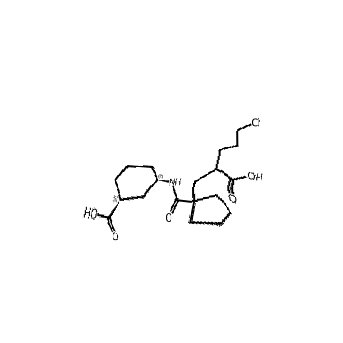 O=C(O)C(CCCCl)CC1(C(=O)N[C@@H]2CCC[C@H](C(=O)O)C2)CCCC1